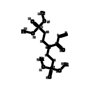 C=CC(=O)N(CCP(=O)(OCC)OCC)CCP(=O)(OCC)OCC